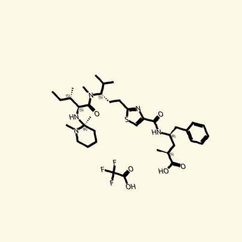 CC[C@H](C)[C@H](N[C@@]1(C)CCCCN1C)C(=O)N(C)[C@@H](CCc1nc(C(=O)N[C@@H](Cc2ccccc2)C[C@H](C)C(=O)O)cs1)C(C)C.O=C(O)C(F)(F)F